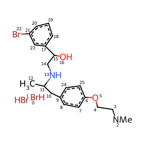 Br.Br.CNCCOc1ccc(CC(C)NCC(O)c2cccc(Br)c2)cc1